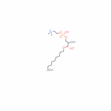 CCCCCCCCCCCCCCCCCCOCC(COP(=O)(O)OCC[N+](C)(C)C)OC(C)=O.[OH-]